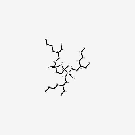 CCCCC(CC)COP1(=O)CCC(C)(P(=O)(OCC(CC)CCCC)OCC(CC)CCCC)O1